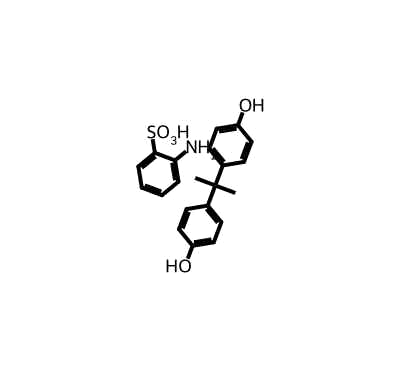 CC(C)(c1ccc(O)cc1)c1ccc(O)cc1.Nc1ccccc1S(=O)(=O)O